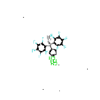 Cl.Cl.Cl.[BH2][Zr]([C]1=CC=CC1)([c]1c(F)c(F)c(F)c(F)c1F)[c]1c(F)c(F)c(F)c(F)c1F